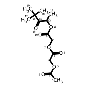 CC(=O)OCC(=O)OCC(=O)OC(C)C(=O)C(C)(C)C